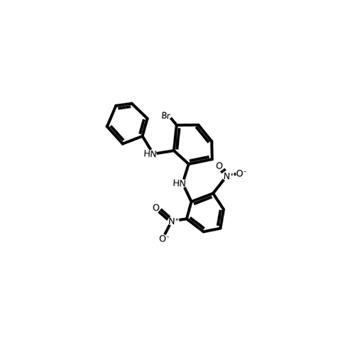 O=[N+]([O-])c1cccc([N+](=O)[O-])c1Nc1cccc(Br)c1Nc1ccccc1